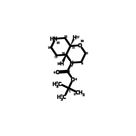 CC(C)(C)OC(=O)N1CCO[C@@H]2CNCC[C@H]21